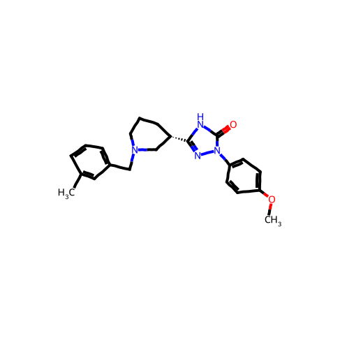 COc1ccc(-n2nc([C@H]3CCCN(Cc4cccc(C)c4)C3)[nH]c2=O)cc1